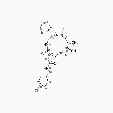 CC1CC(=O)O[C@@H](c2ccccc2)CNC(=O)[C@@H](CC(=O)NCc2ccc(Cl)cc2)C/C=C/[C@@H]1C